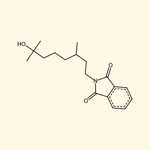 CC(CCCC(C)(C)O)CCN1C(=O)c2ccccc2C1=O